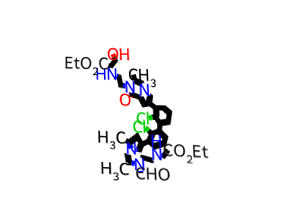 CCOC(=O)CNCCN(C=O)/C(C)=C\n1cc(-c2cccc(-c3cccc(-c4cc5c(=O)n(CCNC(CO)C(=O)OCC)c(C)cn5c4)c3Cl)c2Cl)cc1C